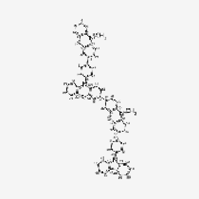 CN1c2ccccc2Sc2cc(-c3ccc(N4c5ccccc5Sc5cc(-c6ccc7c(c6)Sc6cc(-c8ccc(-n9c%10ccccc%10c%10ccccc%109)cc8)ccc6N7C)ccc54)cc3)ccc21